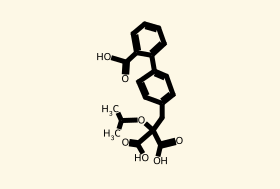 CC(C)OC(Cc1ccc(-c2ccccc2C(=O)O)cc1)(C(=O)O)C(=O)O